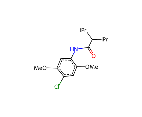 COc1cc(NC(=O)C(C(C)C)C(C)C)c(OC)cc1Cl